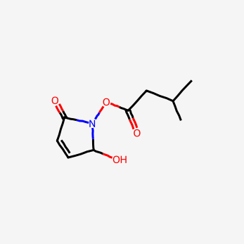 CC(C)CC(=O)ON1C(=O)C=CC1O